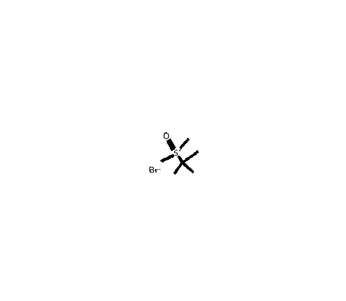 CC(C)(C)[S+](C)(C)=O.[Br-]